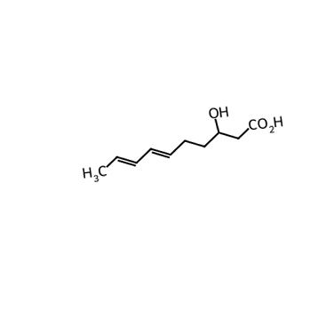 C/C=C/C=C/CCC(O)CC(=O)O